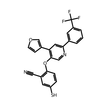 N#Cc1cc(S)ccc1Oc1cnc(-c2cccc(C(F)(F)F)c2)cc1-c1ccoc1